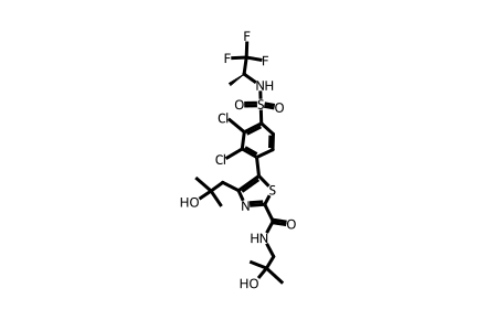 C[C@H](NS(=O)(=O)c1ccc(-c2sc(C(=O)NCC(C)(C)O)nc2CC(C)(C)O)c(Cl)c1Cl)C(F)(F)F